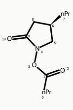 CCCC(=O)ON1C[C@H](CCC)CC1=O